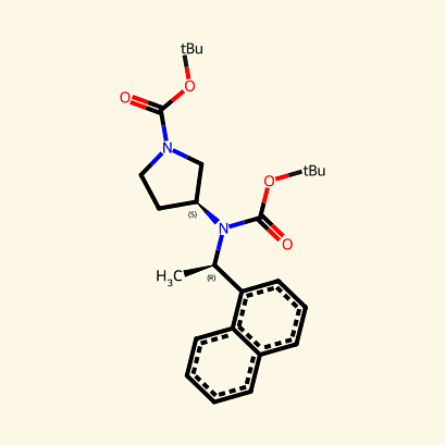 C[C@H](c1cccc2ccccc12)N(C(=O)OC(C)(C)C)[C@H]1CCN(C(=O)OC(C)(C)C)C1